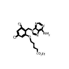 CCOC(=O)CCCCOc1cc(Cl)cc(Cl)c1Cn1cnc2c(N)ncnc21